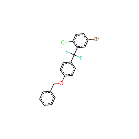 FC(F)(c1ccc(OCc2ccccc2)cc1)c1cc(Br)ccc1Cl